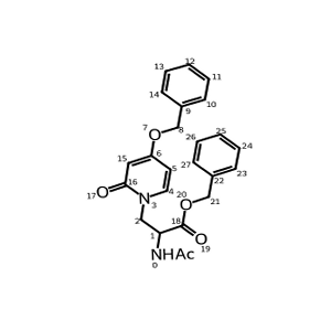 CC(=O)NC(Cn1ccc(OCc2ccccc2)cc1=O)C(=O)OCc1ccccc1